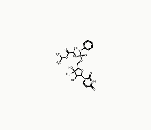 CC(C)OC(=O)[C@H](C)NP(=O)(OC[C@H]1O[C@@H](n2ccc(=O)[nH]c2=O)C(O)C1(C)O)Oc1ccccc1